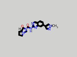 Cn1cc(-c2ccc3cnc(NC(=O)N4CN5CCC[C@@H]5C4=O)nc3c2)cn1